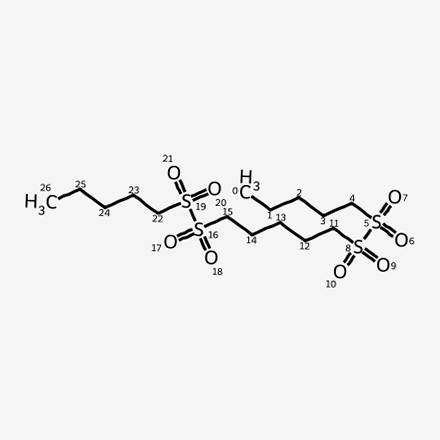 CCCCCS(=O)(=O)S(=O)(=O)CCCCCS(=O)(=O)S(=O)(=O)CCCCC